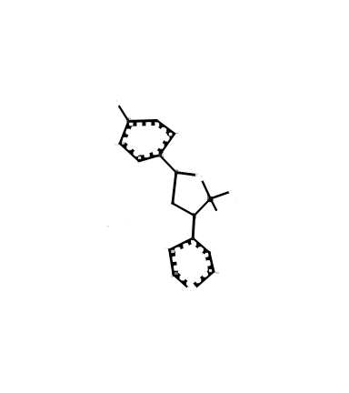 CC1(C)NC(c2ccc([N+](=O)[O-])cc2)CC1c1ccncc1.Cl.Cl